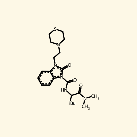 CCC(C)C(NC(=O)n1c(=O)n(CCN2CCSCC2)c2ccccc21)C(=O)N(C)C